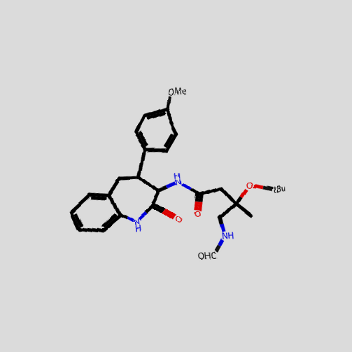 COc1ccc(C2Cc3ccccc3NC(=O)C2NC(=O)CC(C)(CNC=O)OC(C)(C)C)cc1